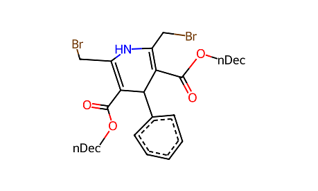 CCCCCCCCCCOC(=O)C1=C(CBr)NC(CBr)=C(C(=O)OCCCCCCCCCC)C1c1ccccc1